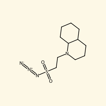 [N-]=[N+]=NS(=O)(=O)CCN1CCCC2CCCCC21